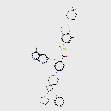 CC(C)c1ccccc1[C@H]1CCCN1C1CC2(CCN(c3ccc(C(=O)NS(=O)(=O)c4cc5c(c([N+](=O)[O-])c4)N[C@@H](C4CCC(C)(O)CC4)CO5)c(Oc4cnc5[nH]cc(C(F)(F)F)c5c4)c3)CC2)C1